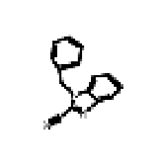 N#Cc1nc2ccccc2n1Cc1ccccc1